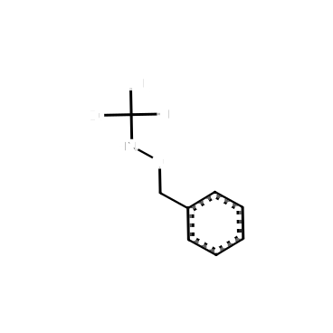 CCC(C)(C)NOCc1ccccc1